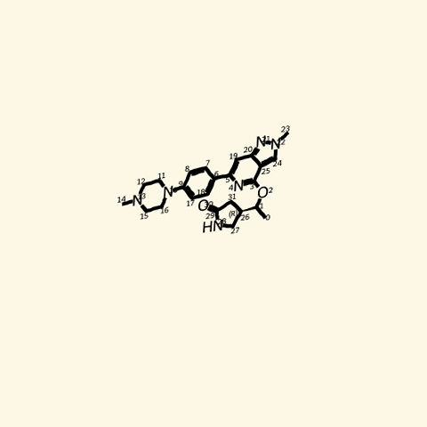 CC(Oc1nc(-c2ccc(N3CCN(C)CC3)cc2)cc2nn(C)cc12)[C@H]1CNC(=O)C1